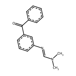 CN(C)C=Nc1cccc(C(=O)c2ccccc2)c1